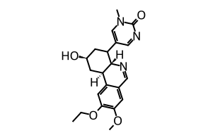 CCOc1cc2c(cc1OC)C=N[C@H]1C(c3cnc(=O)n(C)c3)C[C@H](O)C[C@H]21